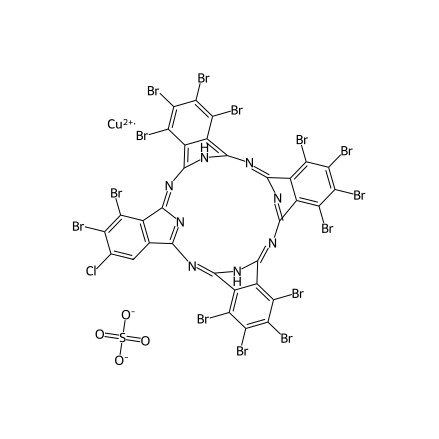 Clc1cc2c(c(Br)c1Br)-c1nc-2nc2[nH]c(nc3nc(nc4[nH]c(n1)c1c(Br)c(Br)c(Br)c(Br)c41)-c1c(Br)c(Br)c(Br)c(Br)c1-3)c1c(Br)c(Br)c(Br)c(Br)c21.O=S(=O)([O-])[O-].[Cu+2]